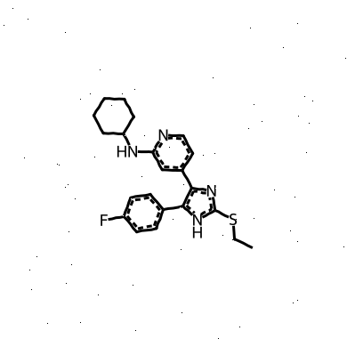 CCSc1nc(-c2ccnc(NC3CCCCC3)c2)c(-c2ccc(F)cc2)[nH]1